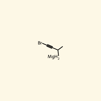 CC(C)C#CBr.[MgH2]